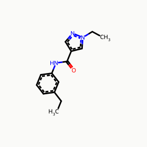 CCc1cccc(NC(=O)c2cnn(CC)c2)c1